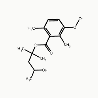 Cc1ccc(O[O])c(C)c1C(=O)OC(C)(C)CC(C)O